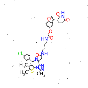 Cc1sc2c(c1C)C(c1ccc(Cl)cc1)=N[C@@H](CC(=O)NCCCCNC(=O)COc1ccc3occ(C4CCC(=O)NC4=O)c3c1)c1nnc(C)n1-2